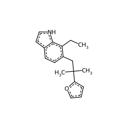 CCc1c(CC(C)(C)c2ccco2)ccc2cc[nH]c12